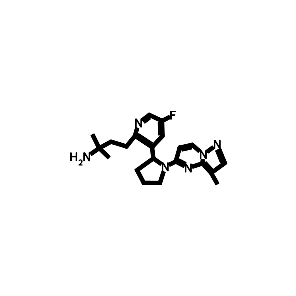 Cc1cnn2ccc(N3CCCC3c3cc(F)cnc3CCC(C)(C)N)nc12